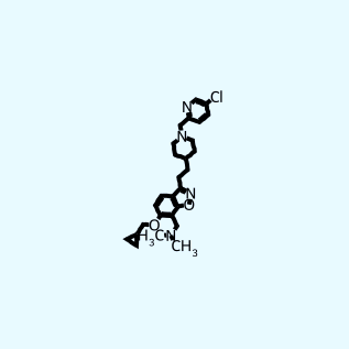 CN(C)Cc1c(OCC2CC2)ccc2c(CCC3CCN(Cc4ccc(Cl)cn4)CC3)noc12